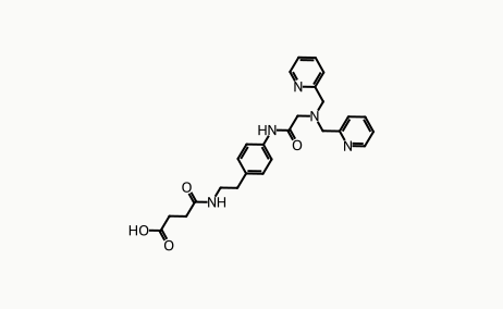 O=C(O)CCC(=O)NCCc1ccc(NC(=O)CN(Cc2ccccn2)Cc2ccccn2)cc1